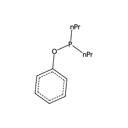 CCCP(CCC)Oc1ccccc1